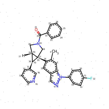 Cc1cc2c(cnn2-c2ccc(F)cc2)cc1[C@]12CN(C(=O)c3ccccc3)C[C@H]1[C@@H]2c1cccnc1